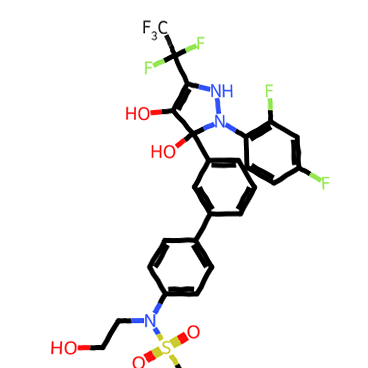 CS(=O)(=O)N(CCO)c1ccc(-c2cccc(C3(O)C(O)=C(C(F)(F)C(F)(F)F)NN3c3ccc(F)cc3F)c2)cc1